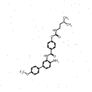 CN(C)CCNC(=O)Oc1ccc(C(=O)Nc2cc(-c3ccc(OC(F)(F)F)cc3)ccc2N)cc1